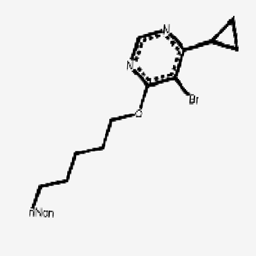 CCCCCCCCCCCCCCOc1ncnc(C2CC2)c1Br